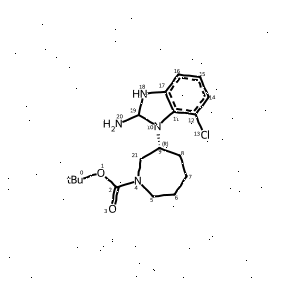 CC(C)(C)OC(=O)N1CCCC[C@@H](N2c3c(Cl)cccc3NC2N)C1